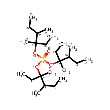 CCC(C)C(C)(CC)OP(=O)(OC(C)(CC)C(C)CC)OC(C)(CC)C(C)CC